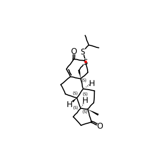 CC(C)SSC[C@]12CCC(=O)C=C1CC[C@@H]1[C@@H]2CC[C@]2(C)C(=O)CC[C@@H]12